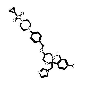 O=S(=O)(C1CC1)N1CCN(c2ccc(COC3COC(Cn4ccnc4)(c4ccc(Cl)cc4Cl)OC3)cc2)CC1